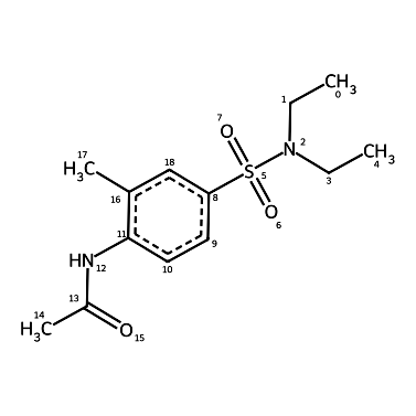 CCN(CC)S(=O)(=O)c1ccc(NC(C)=O)c(C)c1